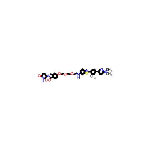 CN(C)c1ccc(-c2ccc(-c3nc4ccc(NCCOCCOCCOc5ccc6c(c5)CN(C5CCC(=O)NC5=O)C6=O)cc4s3)c(C(F)(F)F)c2)cn1